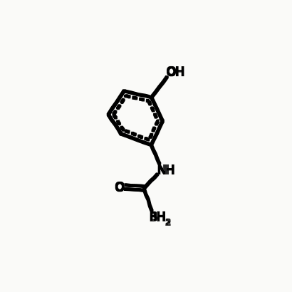 BC(=O)Nc1cccc(O)c1